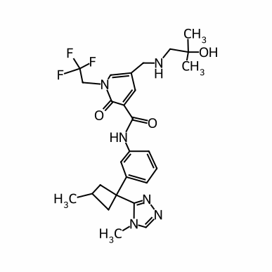 CC1CC(c2cccc(NC(=O)c3cc(CNCC(C)(C)O)cn(CC(F)(F)F)c3=O)c2)(c2nncn2C)C1